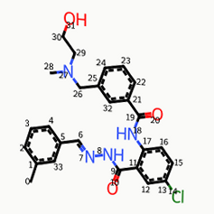 Cc1cccc(C=NNC(=O)c2cc(Cl)ccc2NC(=O)c2cccc(CN(C)CCO)c2)c1